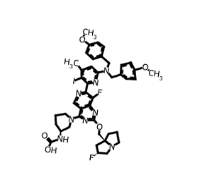 COc1ccc(CN(Cc2ccc(OC)cc2)c2cc(C)c(I)c(-c3ncc4c(N5CCC[C@H](NC(=O)O)C5)nc(OC[C@@]56CCCN5C[C@H](F)C6)nc4c3F)n2)cc1